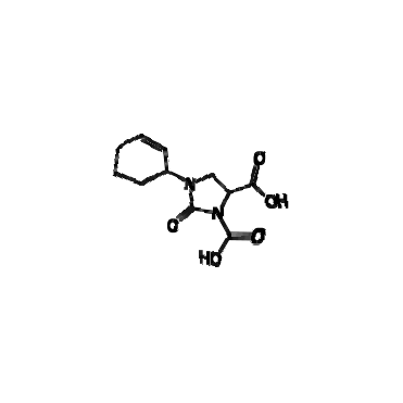 O=C(O)C1CN(C2C=CCCC2)C(=O)N1C(=O)O